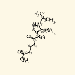 CC(C)n1ncc(NC(=O)CCCC(=O)O)c1N